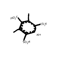 Cc1c(C(=O)O)cc(S(=O)(=O)O)c(C)c1C(=O)O.[KH]